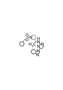 CC(Nc1nccc(-n2cnc3ccccc32)n1)C1CCCN(C(=O)OCc2ccccc2)C1